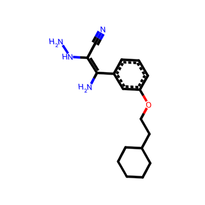 N#C/C(NN)=C(/N)c1cccc(OCCC2CCCCC2)c1